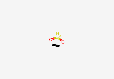 C=C.O=[SH2]=O